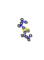 S=[SH]1(c2ccccc2)c2ccc(-n3c4ccccc4c4cc5c6ccccc6n(-c6ccccc6)c5cc43)cc2Sc2cc(-n3c4ccccc4c4cc5c6ccccc6n(-c6ccccc6)c5cc43)ccc21